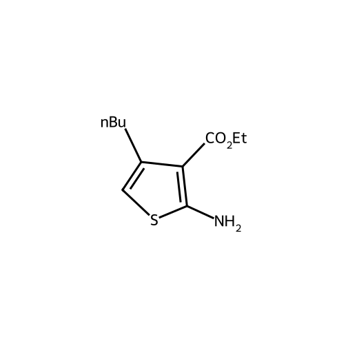 CCCCc1csc(N)c1C(=O)OCC